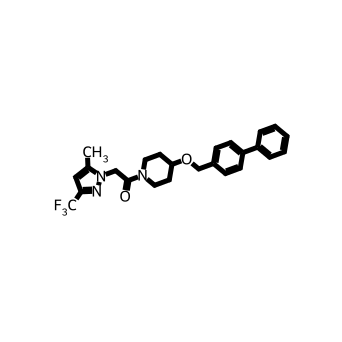 Cc1cc(C(F)(F)F)nn1CC(=O)N1CCC(OCc2ccc(-c3ccccc3)cc2)CC1